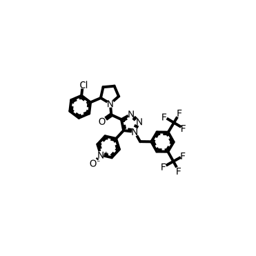 O=C(c1nnn(Cc2cc(C(F)(F)F)cc(C(F)(F)F)c2)c1-c1cc[n+]([O-])cc1)N1CCCC1c1ccccc1Cl